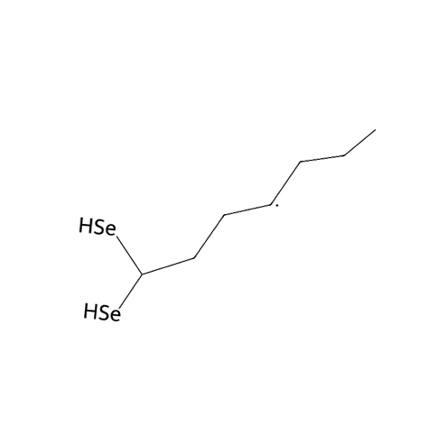 CCC[CH]CCC([SeH])[SeH]